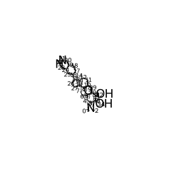 CN(C)[C@H]1C[C@@]23CC[C@@]4(O2)C(=CC[C@]2(C)C(c5ccc6cnncc6c5)=CCC24)C=C3[C@@H](O)[C@@H]1O